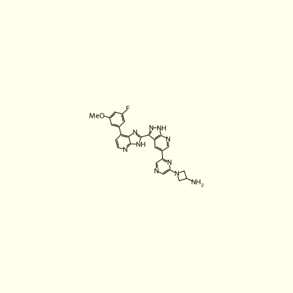 COc1cc(F)cc(-c2ccnc3[nH]c(-c4n[nH]c5ncc(-c6cncc(N7CC(N)C7)n6)cc45)nc23)c1